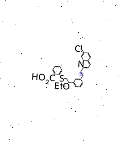 CCOC(CSc1ccccc1C(=O)O)c1cccc(/C=C/c2ccc3ccc(Cl)cc3n2)c1